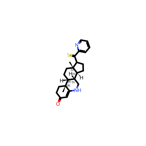 C[C@]12CCC(=O)C=C1NC[C@@H]1[C@H]2CC[C@]2(C)C(C(=S)c3ccccn3)CC[C@@H]12